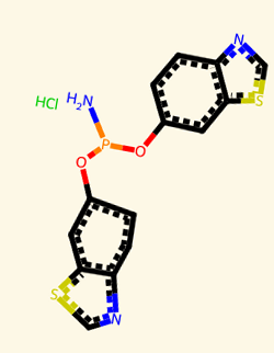 Cl.NP(Oc1ccc2ncsc2c1)Oc1ccc2ncsc2c1